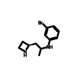 CC(C[C@@H]1CCN1)Nc1cccc(Br)c1